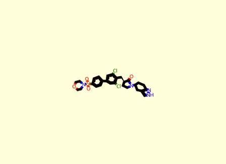 O=C1[C@H](Cc2c(Cl)cc(-c3ccc(S(=O)(=O)N4CCOCC4)cc3)cc2Cl)CCN1C1CCc2n[nH]cc2C1